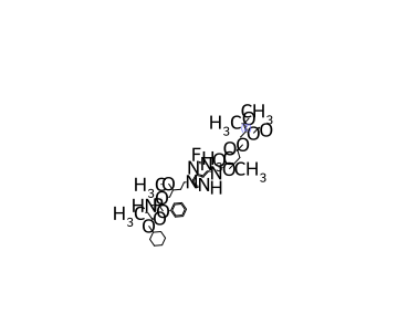 CO/C(C)=C(/COC(=O)CC(C)(C)OC(=O)Nc1nc(F)nc2c1ncn2CCC(COP(NC(C)C(=O)OC1CCCCC1)Oc1ccccc1)OC)OC=O